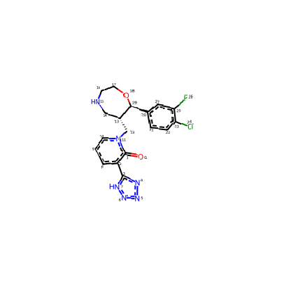 O=c1c(-c2nnn[nH]2)cccn1C[C@@H]1CNCCO[C@H]1c1ccc(Cl)c(F)c1